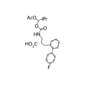 CC(=O)O[C@H](OC(=O)NC[C@H](Cc1ccccc1-c1ccc(F)cc1)C(=O)O)C(C)C